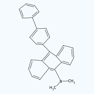 CB(C)c1c2ccccc2c(-c2ccc(-c3ccccc3)cc2)c2ccccc12